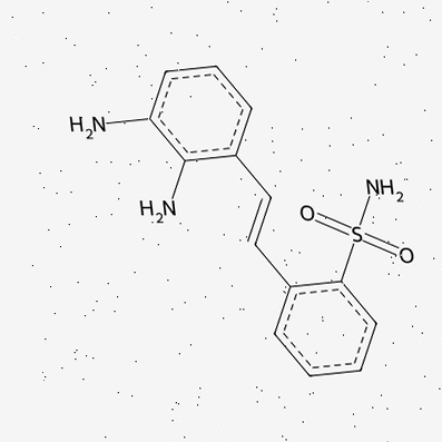 Nc1cccc(C=Cc2ccccc2S(N)(=O)=O)c1N